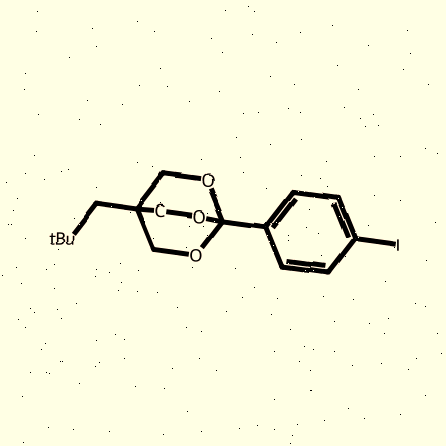 CC(C)(C)CC12COC(c3ccc(I)cc3)(OC1)OC2